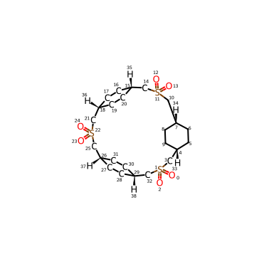 O=S1(=O)C[C@H]2CC[C@H](CC2)CS(=O)(=O)C[C@H]2CC[C@H](CC2)CS(=O)(=O)C[C@H]2CC[C@H](CC2)C1